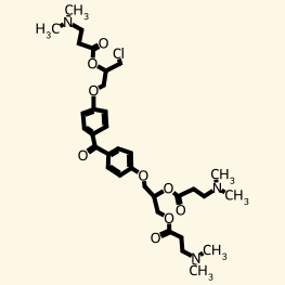 CN(C)CCC(=O)OCC(COc1ccc(C(=O)c2ccc(OCC(CCl)OC(=O)CCN(C)C)cc2)cc1)OC(=O)CCN(C)C